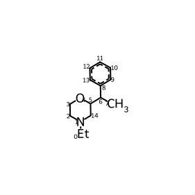 CCN1CCOC(C(C)c2ccccc2)C1